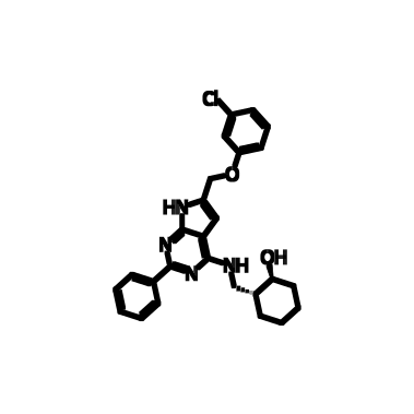 O[C@H]1CCCC[C@@H]1CNc1nc(-c2ccccc2)nc2[nH]c(COc3cccc(Cl)c3)cc12